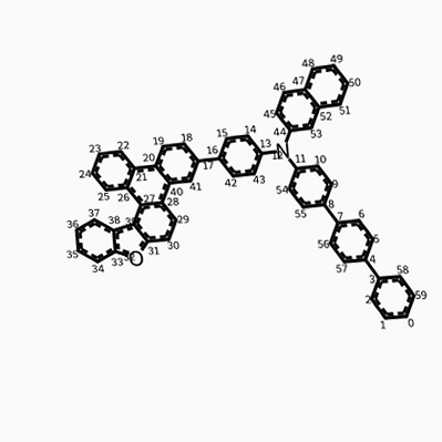 c1ccc(-c2ccc(-c3ccc(N(c4ccc(-c5ccc6c7ccccc7c7c(ccc8oc9ccccc9c87)c6c5)cc4)c4ccc5ccccc5c4)cc3)cc2)cc1